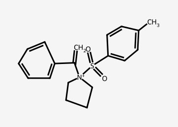 C=C(c1ccccc1)[N+]1(S(=O)(=O)c2ccc(C)cc2)CCCC1